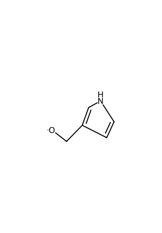 [O]Cc1cc[nH]c1